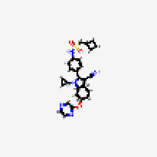 N#Cc1c(-c2ccc(NS(=O)(=O)CC3CCC3)cc2)n(C2CC2)c2cc(Oc3cnccn3)ccc12